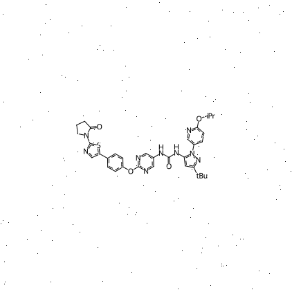 CC(C)Oc1ccc(-n2nc(C(C)(C)C)cc2NC(=O)Nc2cnc(Oc3ccc(-c4cnc(N5CCCC5=O)s4)cc3)nc2)cn1